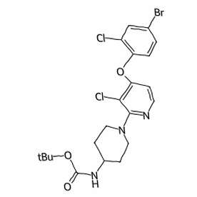 CC(C)(C)OC(=O)NC1CCN(c2nccc(Oc3ccc(Br)cc3Cl)c2Cl)CC1